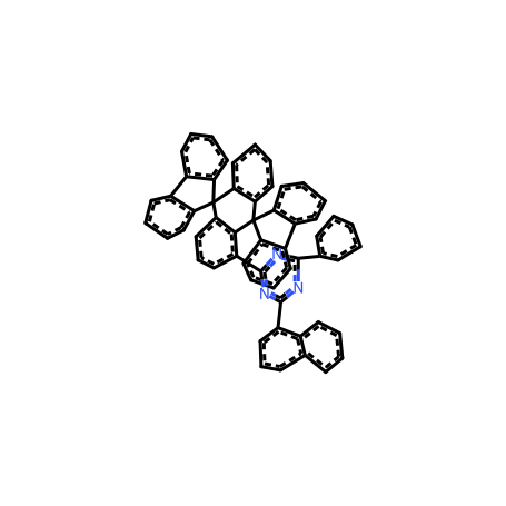 c1ccc(-c2nc(-c3cccc4c3C3(c5ccccc5-c5ccccc53)c3ccccc3C43c4ccccc4-c4ccccc43)nc(-c3cccc4ccccc34)n2)cc1